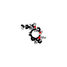 C=CC(=O)N1CC2CCC1CN2C(=O)N(C)C(C(=O)N[C@H]1Cc2nc(cs2)-c2ccc3c(c2)c(c(-c2cccnc2[C@H](C)OC)n3CC)CC(C)(C)COC(=O)[C@@H]2CCCN(N2)C1=O)C(C)C